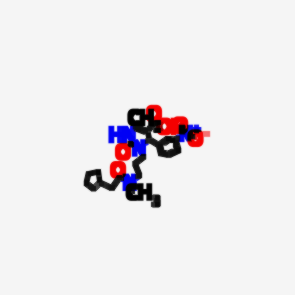 CC1=C(C(=O)O)C(c2cccc([N+](=O)[O-])c2)N(CCCN(C)C(=O)CC2CCCC2)C(=O)N1